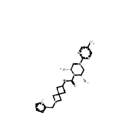 C[C@@H]1CN(c2ncc(C(F)(F)F)cn2)C[C@H](C)N1C(=O)NC1CC2(C1)CN(Cc1ccc[nH]1)C2